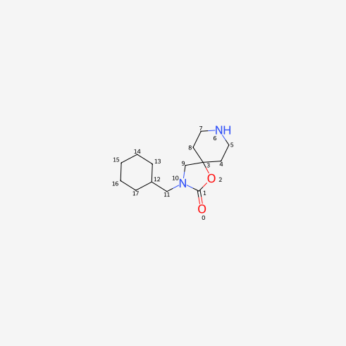 O=C1OC2(CCNCC2)CN1CC1CCCCC1